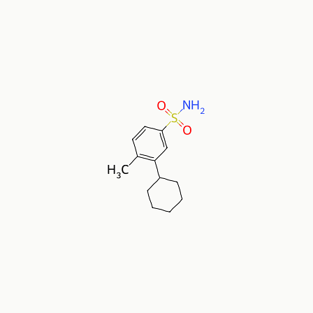 Cc1ccc(S(N)(=O)=O)cc1C1CCCCC1